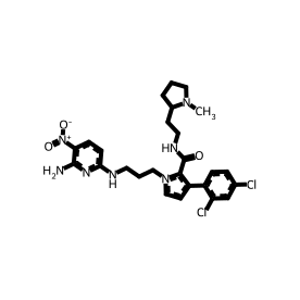 CN1CCCC1CCNC(=O)c1c(-c2ccc(Cl)cc2Cl)ccn1CCCNc1ccc([N+](=O)[O-])c(N)n1